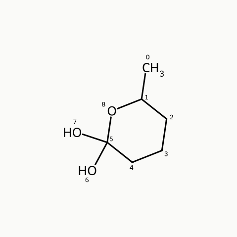 CC1CCCC(O)(O)O1